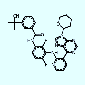 CC(C)(C#N)c1cccc(C(=O)Nc2ccc(F)c(Nc3ncccc3-c3ncnc4c3ncn4C3CCCCO3)c2F)c1